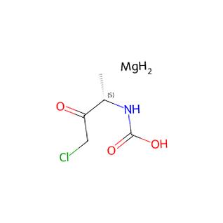 C[C@H](NC(=O)O)C(=O)CCl.[MgH2]